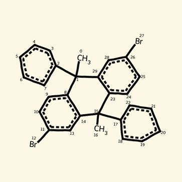 CC1(c2ccccc2)c2ccc(Br)cc2C(C)(c2ccccc2)c2ccc(Br)cc21